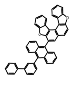 c1ccc(-c2cccc(-c3c4ccccc4c(-c4cc5ccc6oc7ccccc7c6c5c5c4oc4ccccc45)c4ccccc34)c2)cc1